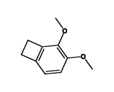 COc1ccc2c(c1OC)CC2